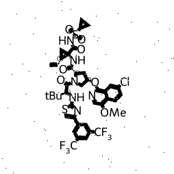 C=C[C@@H]1C[C@]1(NC(=O)[C@@H]1C[C@@H](Oc2ncc(OC)c3ccc(Cl)cc23)CN1C(=O)[C@@H](Nc1nc(-c2cc(C(F)(F)F)cc(C(F)(F)F)c2)cs1)C(C)(C)C)C(=O)NS(=O)(=O)C1CC1